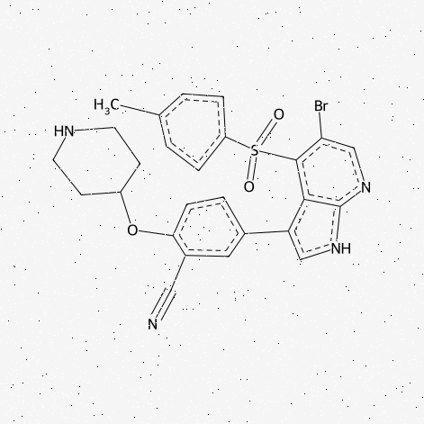 Cc1ccc(S(=O)(=O)c2c(Br)cnc3[nH]cc(-c4ccc(OC5CCNCC5)c(C#N)c4)c23)cc1